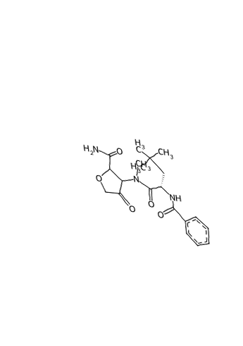 CN(C(=O)[C@H](CC(C)(C)C)NC(=O)c1ccccc1)C1C(=O)COC1C(N)=O